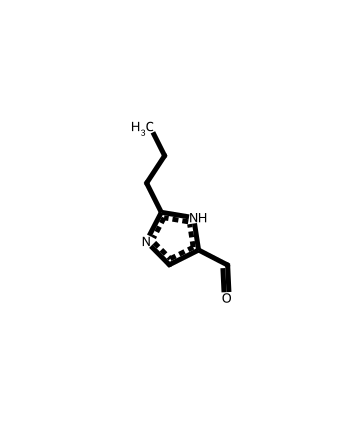 CCCc1ncc(C=O)[nH]1